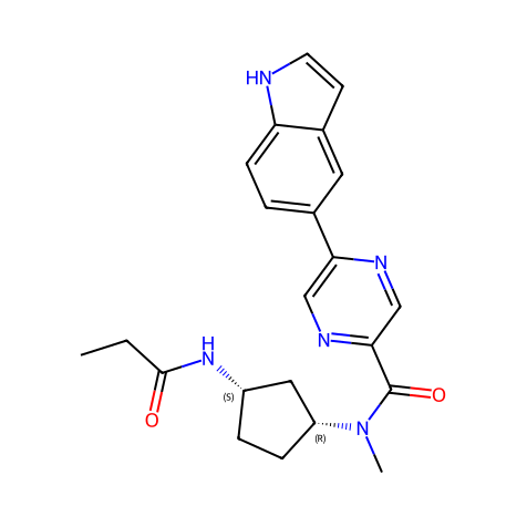 CCC(=O)N[C@H]1CC[C@@H](N(C)C(=O)c2cnc(-c3ccc4[nH]ccc4c3)cn2)C1